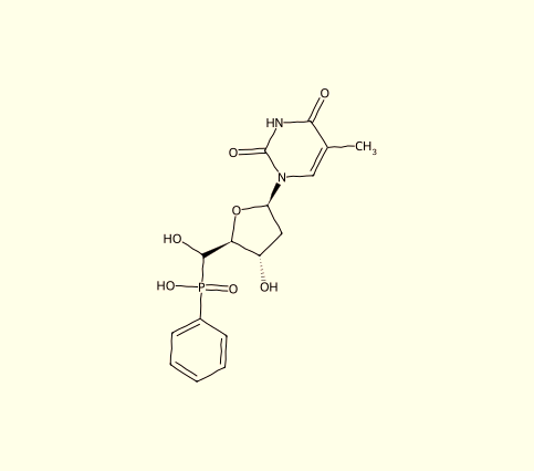 Cc1cn([C@H]2C[C@H](O)[C@@H](C(O)P(=O)(O)c3ccccc3)O2)c(=O)[nH]c1=O